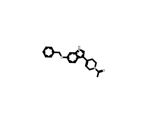 CC(=O)N1CC=C(c2c[nH]c3cc(OCc4ccccc4)ccc23)CC1